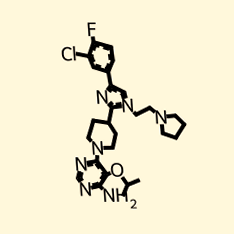 CC(C)Oc1c(N)ncnc1N1CCC(c2nc(-c3ccc(F)c(Cl)c3)cn2CCN2CCCC2)CC1